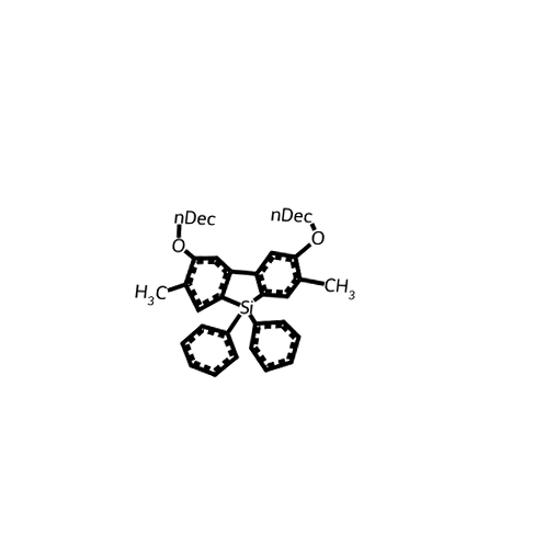 CCCCCCCCCCOc1cc2c(cc1C)[Si](c1ccccc1)(c1ccccc1)c1cc(C)c(OCCCCCCCCCC)cc1-2